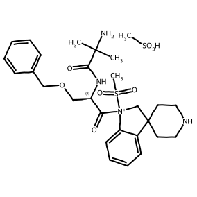 CC(C)(N)C(=O)N[C@H](COCc1ccccc1)C(=O)[N+]1(S(C)(=O)=O)CC2(CCNCC2)c2ccccc21.CS(=O)(=O)O